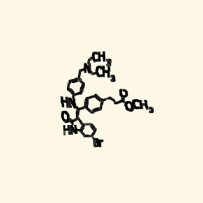 CCN(CC)Cc1ccc(N/C(=C2\C(=O)Nc3cc(Br)ccc32)c2ccc(CCC(=O)OC)cc2)cc1